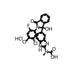 CN(C(=O)O)c1nc2cc(C3(O)c4ccccc4C(=O)N3c3cc(Cl)c(Cl)cc3F)ccc2[nH]1.Cl